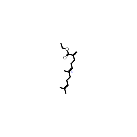 C=C(CC/C=C(\C)CCC=C(C)C)C(=O)OCC